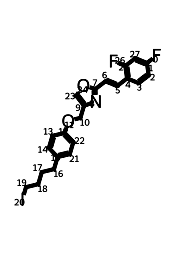 Fc1ccc(C=Cc2nc(COc3ccc(CCCCI)cc3)co2)c(F)c1